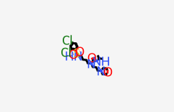 CC(C)NC(=O)N(CCCCNS(=O)(=O)c1ccc(Cl)cc1Cl)CCCN1CCOCC1